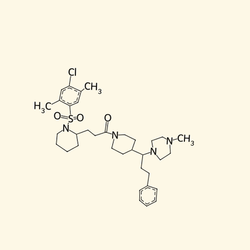 Cc1cc(S(=O)(=O)N2CCCCC2CCC(=O)N2CCC(C(CCc3ccccc3)N3CCN(C)CC3)CC2)c(C)cc1Cl